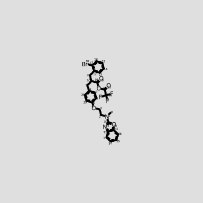 CN(CCOc1ccc(CC(Cc2ccccc2Br)C(=O)OC(=O)C(F)(F)F)cc1)c1nc2ccccc2o1